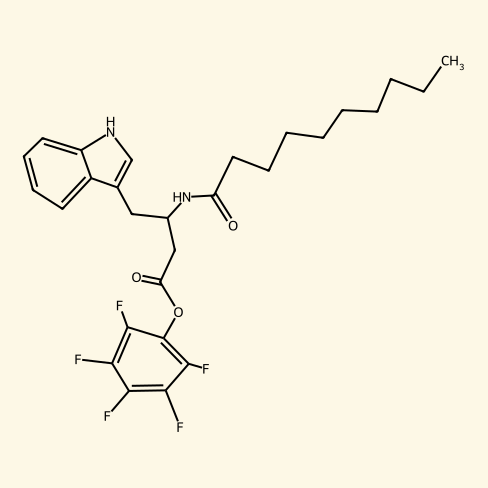 CCCCCCCCCC(=O)NC(CC(=O)Oc1c(F)c(F)c(F)c(F)c1F)Cc1c[nH]c2ccccc12